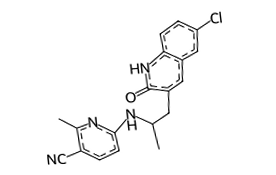 Cc1nc(NC(C)Cc2cc3cc(Cl)ccc3[nH]c2=O)ccc1C#N